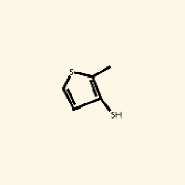 Cc1sccc1S